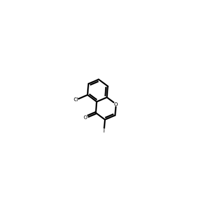 O=c1c(I)coc2cccc(Cl)c12